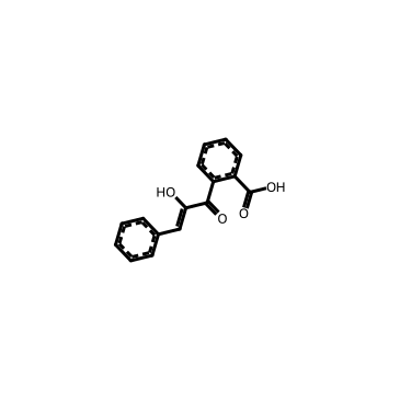 O=C(O)c1ccccc1C(=O)C(O)=Cc1ccccc1